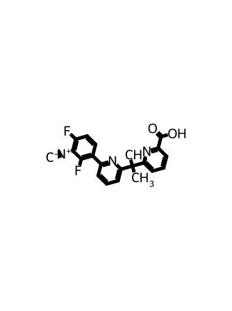 [C-]#[N+]c1c(F)ccc(-c2cccc(C(C)(C)c3cccc(C(=O)O)n3)n2)c1F